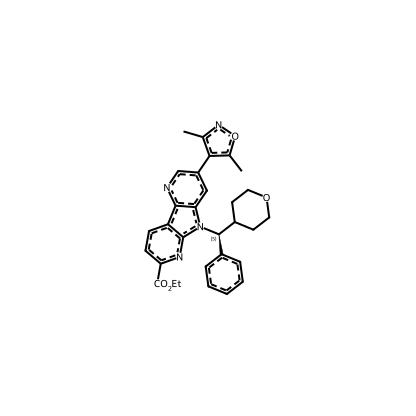 CCOC(=O)c1ccc2c3ncc(-c4c(C)noc4C)cc3n([C@H](c3ccccc3)C3CCOCC3)c2n1